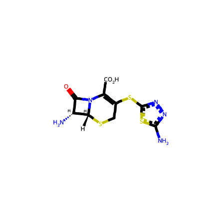 Nc1nnc(SC2=C(C(=O)O)N3C(=O)[C@@H](N)[C@H]3SC2)s1